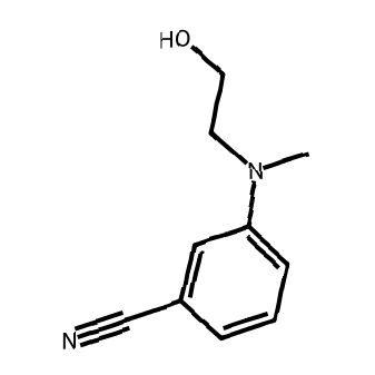 CN(CCO)c1cccc(C#N)c1